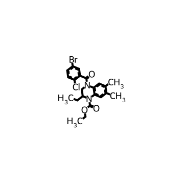 CCOC(=O)N1c2cc(C)c(C)cc2N(C(=O)c2cc(Br)ccc2Cl)CC1CC